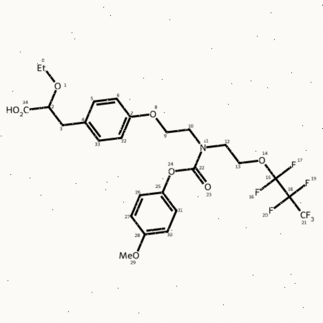 CCOC(Cc1ccc(OCCN(CCOC(F)(F)C(F)(F)C(F)(F)F)C(=O)Oc2ccc(OC)cc2)cc1)C(=O)O